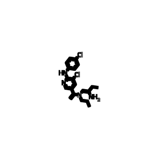 C=C(c1cnc(Nc2ccc(Cl)cc2)c(Cl)c1)N(/C=C(\N)CC)CCC